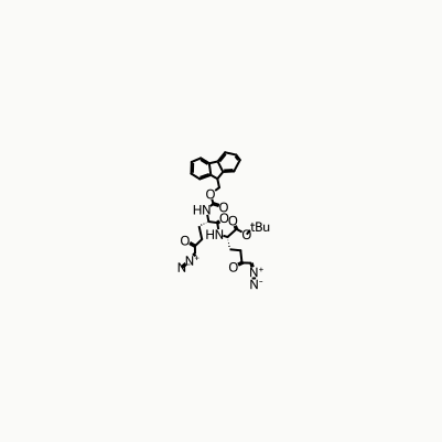 CC(C)(C)OC(=O)[C@H](CCC(=O)C=[N+]=[N-])NC(=O)[C@H](CCC(=O)C=[N+]=[N-])NC(=O)OCC1c2ccccc2-c2ccccc21